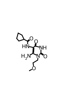 COCCn1c(N)c(NC(=O)C2CCCC2)c(=O)[nH]c1=O